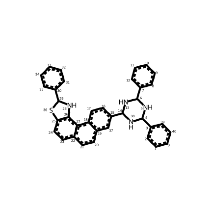 c1ccc(C2NC(c3ccccc3)NC(c3ccc4c(ccc5ccc6c(c54)NC(c4ccccc4)S6)c3)N2)cc1